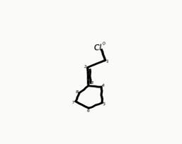 ClCC=C1CCCCC1